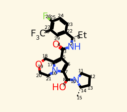 CC[C@H](NC(=O)c1cc(C(O)N2CCC[C@@H]2C)n2c1COCC2)c1ccc(F)c(C(F)(F)F)c1